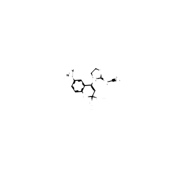 CC1(C)C=C(N2CCSC2=NC#N)c2cc([N+](=O)[O-])ccc2O1